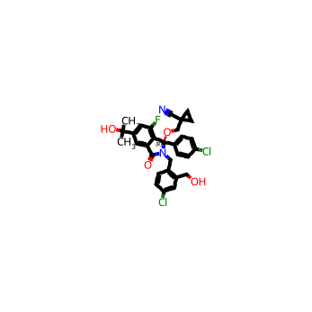 CC(C)(O)c1cc(F)c2c(c1)C(=O)N(Cc1ccc(Cl)cc1CO)[C@@]2(OCC1(C#N)CC1)c1ccc(Cl)cc1